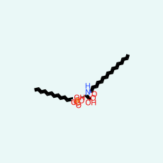 CCCCCCCCCCCCCCCC(=O)N[C@@H](COP(=O)(O)OCCCCCCCCCCCC)C(=O)O